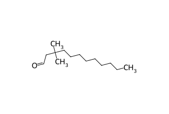 CCCCCCCCCC(C)(C)CC=O